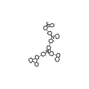 c1ccc(N(c2ccc(-c3ccc4c(c3)c3cc(-c5cccc6ccccc56)ccc3n4-c3ccc(-c4ccc5c6ccccc6c6ccccc6c5c4)cc3)cc2)c2ccc(-c3cccc4sc5ccccc5c34)cc2)cc1